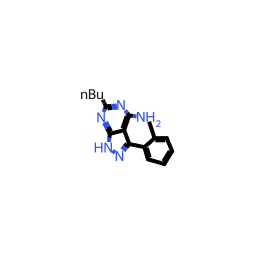 CCCCc1nc(N)c2c(-c3ccccc3C)n[nH]c2n1